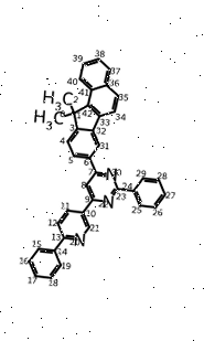 CC1(C)c2ccc(-c3cc(-c4ccc(-c5ccccc5)nc4)nc(-c4ccccc4)n3)cc2-c2ccc3ccccc3c21